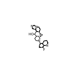 OC(c1c(C2CC2)ccn2cncc12)C1CCN(c2ccc(F)c3ncccc23)CC1